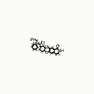 CC[C@@H](NCC(C)C)[C@]1(c2ccccc2)CC[C@@H](Oc2cc3cc[nH]c(=O)c3cc2Cl)CC1